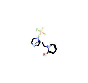 C1CN2CCN1CC2.CC[n+]1ccccc1Br.F[B-](F)(F)F